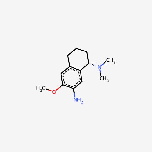 COc1cc2c(cc1N)[C@@H](N(C)C)CCC2